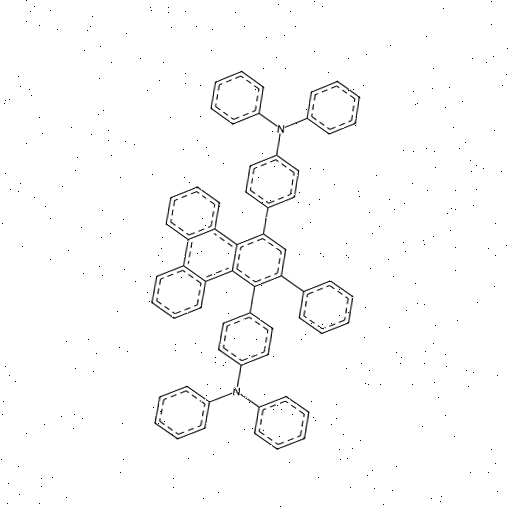 c1ccc(-c2cc(-c3ccc(N(c4ccccc4)c4ccccc4)cc3)c3c4ccccc4c4ccccc4c3c2-c2ccc(N(c3ccccc3)c3ccccc3)cc2)cc1